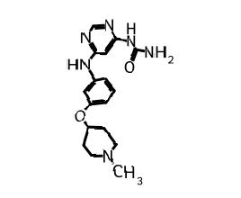 CN1CCC(Oc2cccc(Nc3cc(NC(N)=O)ncn3)c2)CC1